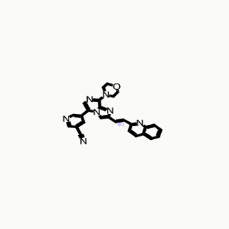 N#Cc1cncc(-c2cnc(N3CCOCC3)c3nc(/C=C/c4ccc5ccccc5n4)cn23)c1